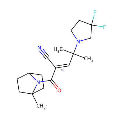 [CH2]C12CCC(CC1)N2C(=O)/C(C#N)=C/C(C)(C)N1CCC(F)(F)C1